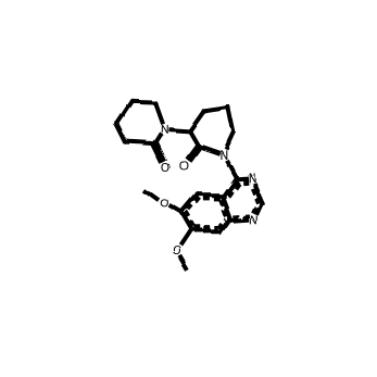 COc1cc2ncnc(N3CCCC(N4CCCCC4=O)C3=O)c2cc1OC